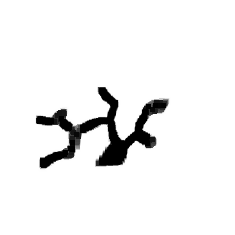 C=C(C(=O)O)C(CC)[SiH](OC)OC